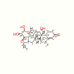 CC1C[C@H]2[C@@H]3CC(F)C4=CC(=O)C=C[C@]4(C)[C@H]3[C@@H](O)C[C@]2(C)[C@]1(OC=O)C(=O)CO